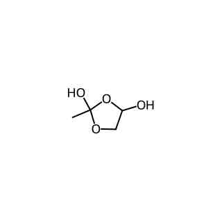 CC1(O)OCC(O)O1